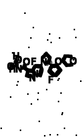 O=C(N[SH](=O)=O)c1cnn2ccc(N3CCC[C@@H]3c3cc(F)ccc3OC3CCOCC3)c(F)c12